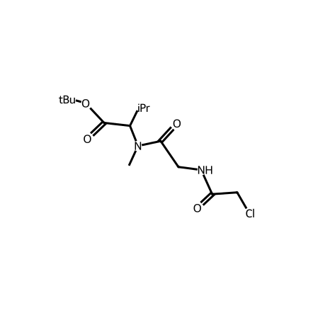 CC(C)C(C(=O)OC(C)(C)C)N(C)C(=O)CNC(=O)CCl